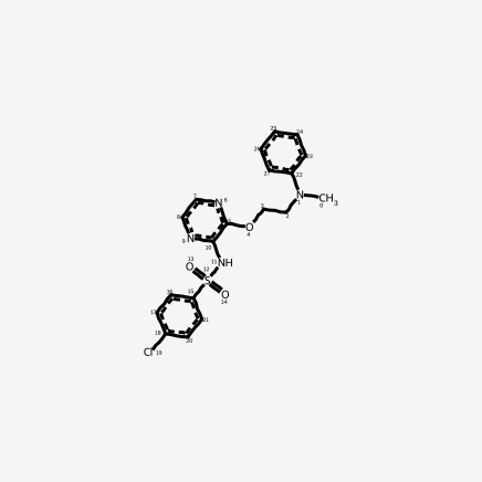 CN(CCOc1nccnc1NS(=O)(=O)c1ccc(Cl)cc1)c1ccccc1